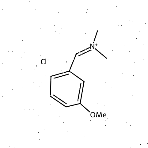 COc1cccc(C=[N+](C)C)c1.[Cl-]